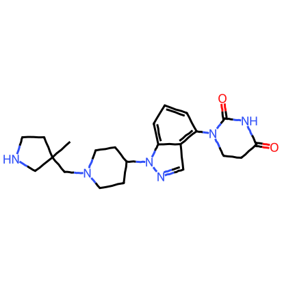 CC1(CN2CCC(n3ncc4c(N5CCC(=O)NC5=O)cccc43)CC2)CCNC1